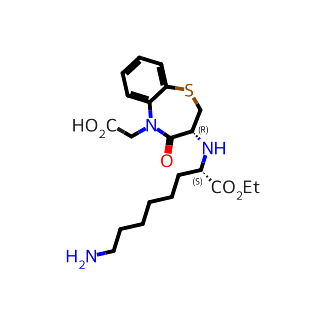 CCOC(=O)[C@H](CCCCCCN)N[C@H]1CSc2ccccc2N(CC(=O)O)C1=O